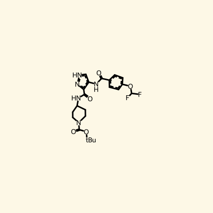 CC(C)(C)OC(=O)N1CCC(NC(=O)c2n[nH]cc2NC(=O)c2ccc(OC(F)F)cc2)CC1